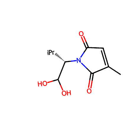 CC1=CC(=O)N([C@@H](C(C)C)C(O)O)C1=O